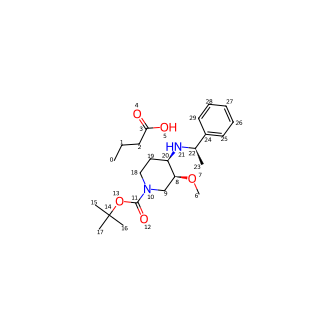 CCCC(=O)O.CO[C@H]1CN(C(=O)OC(C)(C)C)CC[C@H]1N[C@H](C)c1ccccc1